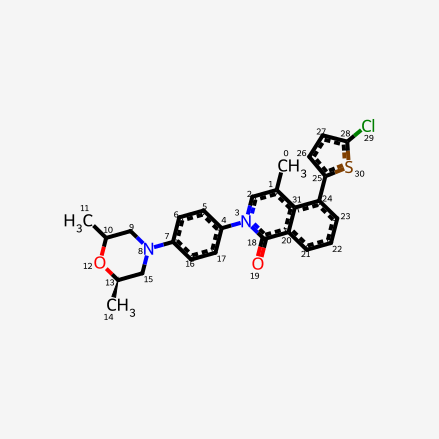 Cc1cn(-c2ccc(N3CC(C)O[C@H](C)C3)cc2)c(=O)c2cccc(-c3ccc(Cl)s3)c12